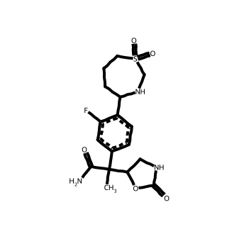 CC(C(N)=O)(c1ccc(C2CCCS(=O)(=O)CN2)c(F)c1)C1CNC(=O)O1